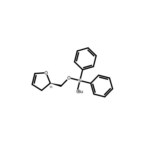 CC(C)(C)[Si](OC[C@H]1CC=CO1)(c1ccccc1)c1ccccc1